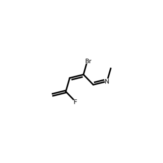 C=C(F)/C=C(Br)\C=N/C